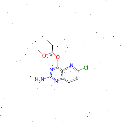 CC[C@H](OC)Oc1nc(N)nc2ccc(Cl)nc12